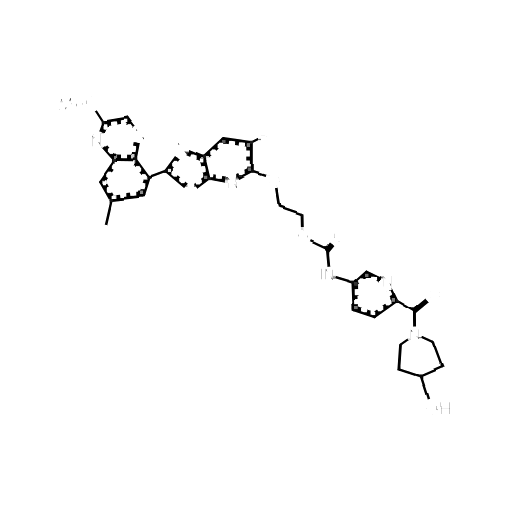 COc1cnc2c(-c3nc4cc(F)c(OCCOC(=O)Nc5ccc(C(=O)N6CCC(O)CC6)nc5)nc4s3)cc(C)cc2n1